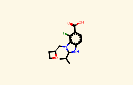 CC(C)C1Nc2ccc(C(=O)O)c(F)c2N1C[C@@H]1CCO1